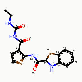 CCNC(=O)NC(=O)c1ccsc1NC(=O)C1Nc2ccccc2S1